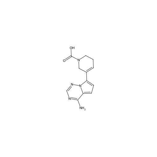 Nc1ncnn2c(C3=CCCN(C(=O)O)C3)ccc12